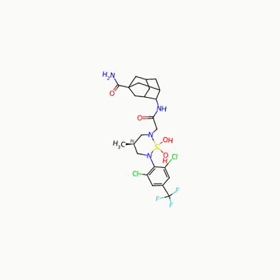 C[C@H]1CN(CC(=O)NC2C3CC4CC2CC(C(N)=O)(C4)C3)S(O)(O)N(c2c(Cl)cc(C(F)(F)F)cc2Cl)C1